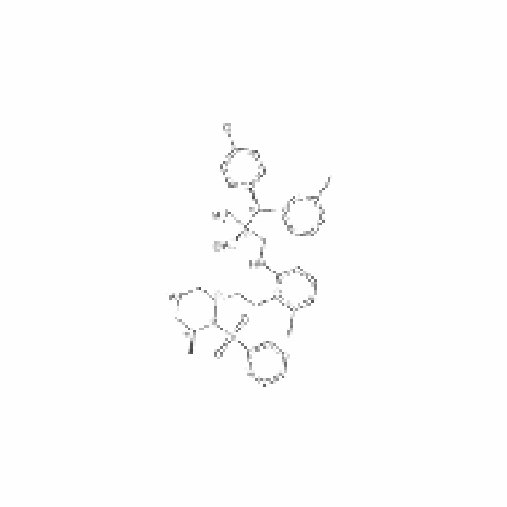 C[C@H]1CNC[C@H](CCc2c(F)cccc2NC[C@@](N)(C=O)[C@@H](c2ccc(Cl)cc2)c2cccc(F)c2)N1S(=O)(=O)c1ccccc1